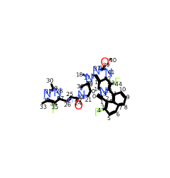 C#Cc1c(F)ccc2cccc(-c3ncc4c(N(C)[C@@H]5CCN(C(=O)/C=C/c6nc(C)nc(C)c6F)C5)nc(OC)nc4c3F)c12